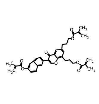 C=C(C)C(=O)OCCCc1cc(CCCOC(=O)C(=C)C)c2occ(-c3ccc4cc(OC(=O)C(=C)C)ccc4c3)c(=O)c2c1